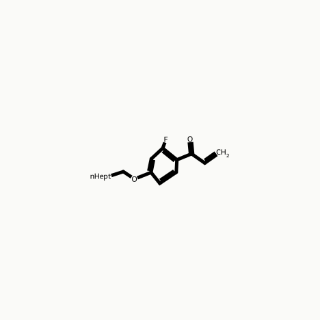 C=CC(=O)c1ccc(OCCCCCCCC)cc1F